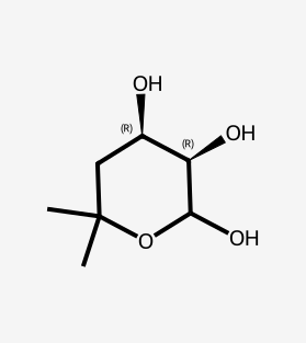 CC1(C)C[C@@H](O)[C@@H](O)C(O)O1